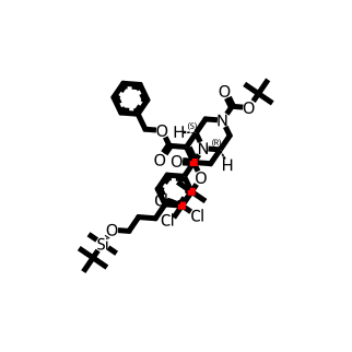 CC(C)(C)OC(=O)N1C[C@H]2CC(c3ccc(CCCO[Si](C)(C)C(C)(C)C)cc3)=C(C(=O)OCc3ccccc3)[C@@H](C1)N2C(=O)OC(C)(C)C(Cl)(Cl)Cl